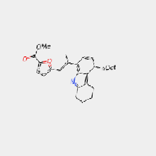 CCCCCCCCC1C=CC(C(C)=Cc2ccc(C(=O)OC)o2)=C2N=C3CCCCC3=C21